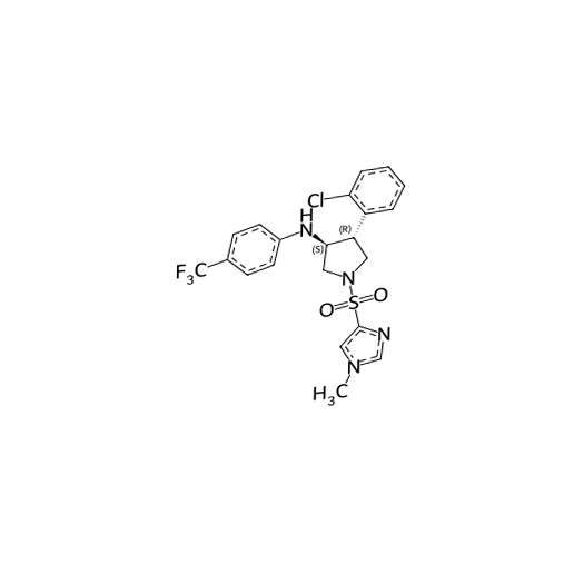 Cn1cnc(S(=O)(=O)N2C[C@@H](Nc3ccc(C(F)(F)F)cc3)[C@H](c3ccccc3Cl)C2)c1